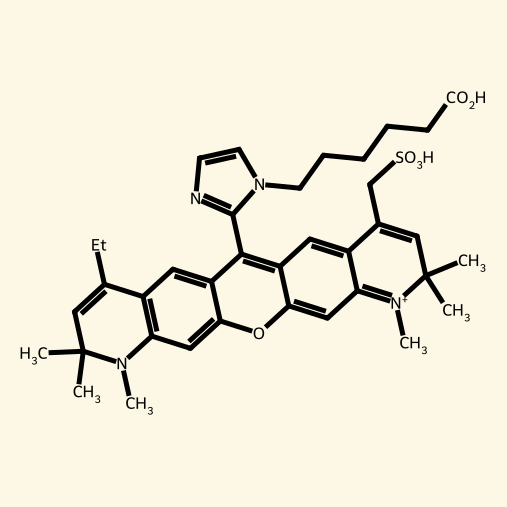 CCC1=CC(C)(C)N(C)c2cc3c(cc21)C(c1nccn1CCCCCC(=O)O)=c1cc2c(cc1O3)=[N+](C)C(C)(C)C=C2CS(=O)(=O)O